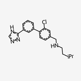 CC(C)CCNCc1ccc(-c2cccc(-c3nnc[nH]3)c2)c(Cl)c1